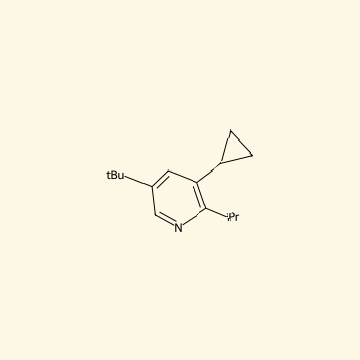 CC(C)c1ncc(C(C)(C)C)cc1C1CC1